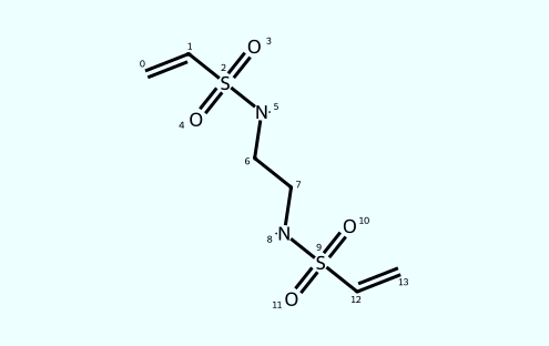 C=CS(=O)(=O)[N]CC[N]S(=O)(=O)C=C